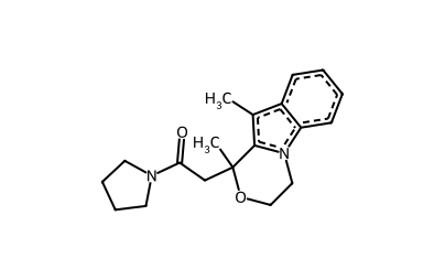 Cc1c2n(c3ccccc13)CCOC2(C)CC(=O)N1CCCC1